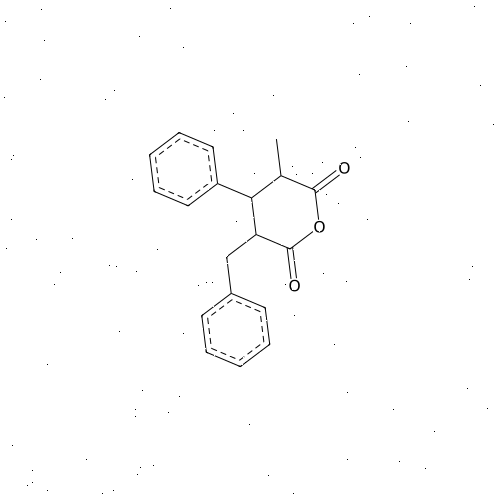 CC1C(=O)OC(=O)C(Cc2ccccc2)C1c1ccccc1